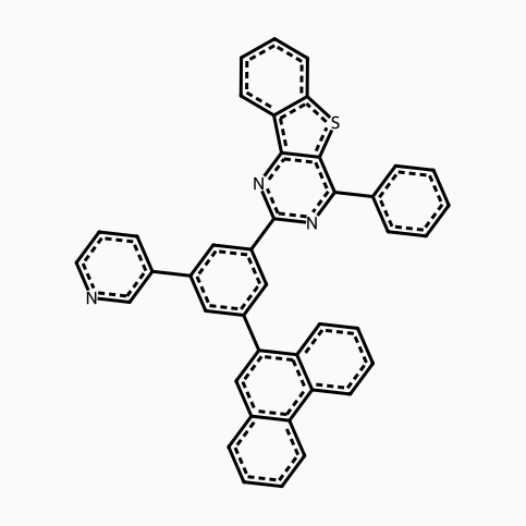 c1ccc(-c2nc(-c3cc(-c4cccnc4)cc(-c4cc5ccccc5c5ccccc45)c3)nc3c2sc2ccccc23)cc1